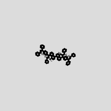 [C-]#[N+]c1c(-c2ccccc2)nc2c(ccc3c(-c4ccccc4)cc(-c4ccccc4)nc32)c1-c1cccc2c(-c3cccc4c(-c5c(C#N)c(-c6ccccc6)nc6c5ccc5c(-c7ccccc7)cc(-c7ccccc7)nc56)cccc34)cccc12